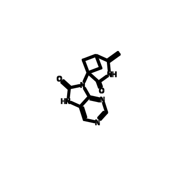 C=C1NC(=O)C2(n3c(=O)[nH]c4cncnc43)CC1C2